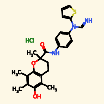 Cc1c(C)c2c(c(C)c1O)CCC(C)(C(=O)Nc1ccc(N(C=N)c3cccs3)cc1)O2.Cl